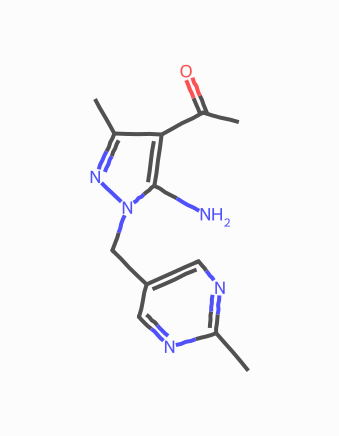 CC(=O)c1c(C)nn(Cc2cnc(C)nc2)c1N